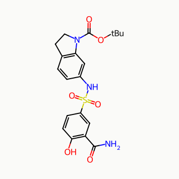 CC(C)(C)OC(=O)N1CCc2ccc(NS(=O)(=O)c3ccc(O)c(C(N)=O)c3)cc21